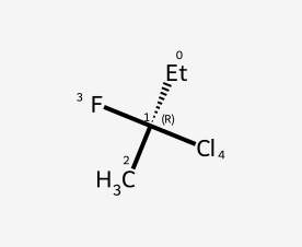 CC[C@](C)(F)Cl